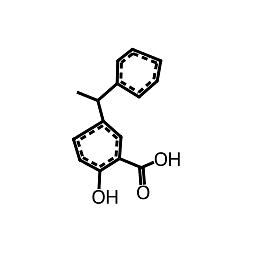 CC(c1ccccc1)c1ccc(O)c(C(=O)O)c1